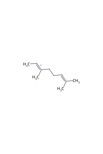 C/C=C(\C)CC[C]=C(C)C